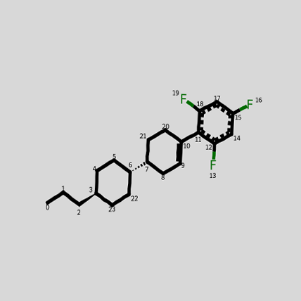 CCC[C@H]1CC[C@H](C2CC=C(c3c(F)cc(F)cc3F)CC2)CC1